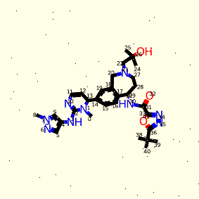 CN1C(Nc2cnn(C)c2)=NC=CC1c1ccc2c(c1)CN(CC(C)(C)O)CC[C@@H]2NC(=O)c1nnc(C(C)(C)C)o1